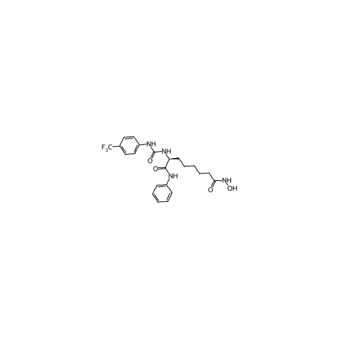 O=C(CCCCC[C@H](NC(=O)Nc1ccc(C(F)(F)F)cc1)C(=O)Nc1ccccc1)NO